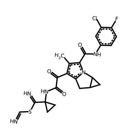 Cc1c(C(=O)C(=O)NC2(C(=N)SC=N)CC2)c2n(c1C(=O)Nc1ccc(F)c(Cl)c1)C1CC1C2